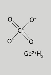 [GeH2+2].[O]=[Cr](=[O])([O-])[O-]